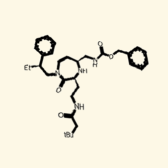 CC[C@H](CN1CC[C@@H](CNC(=O)OCc2ccccc2)N[C@@H](CCNC(=O)CC(C)(C)C)C1=O)c1ccccc1